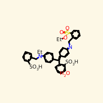 CCOS(=O)(=O)c1ccccc1CN=C1C=CC(=C(c2ccc(N(CC)Cc3ccccc3S(=O)(=O)O)cc2)c2ccccc2S(=O)(=O)O)C=C1.O